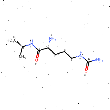 C[C@H](NC(=O)[C@H](N)CCCNC(N)=O)C(=O)O